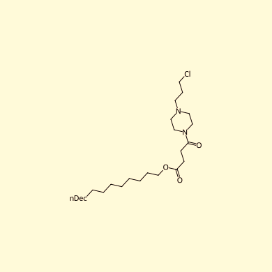 CCCCCCCCCCCCCCCCCCOC(=O)CCC(=O)N1CCN(CCCCl)CC1